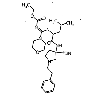 CCOC(=O)/N=C(\NC(CC(C)C)C(=O)NC1(C#N)CCN(CCc2ccccc2)C1)N1CCOCC1